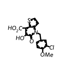 COc1ccc(Cn2c(=O)c(O)c(C(=O)O)c3sccc32)cc1Cl